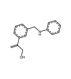 C=C(CO)c1cccc(CNc2ccccc2)c1